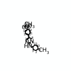 CC1CCC(Nc2ncc(-c3ccc(S(C)(=O)=O)cc3)cn2)CC1